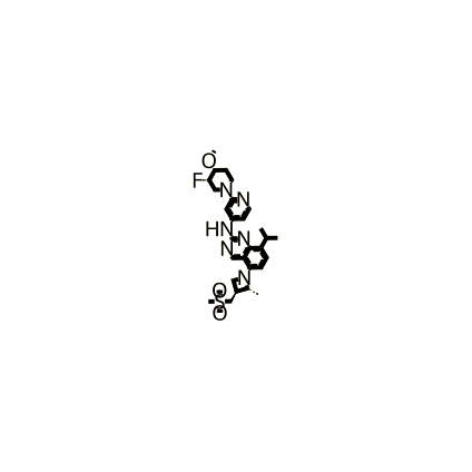 CO[C@@H]1CCN(c2cc(Nc3ncc4c(N5C[C@H](CS(C)(=O)=O)[C@H]5C)ccc(C(C)C)c4n3)ccn2)C[C@@H]1F